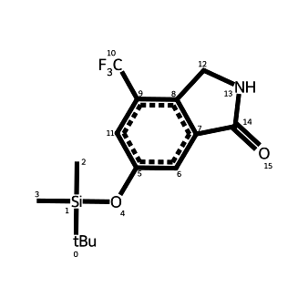 CC(C)(C)[Si](C)(C)Oc1cc2c(c(C(F)(F)F)c1)CNC2=O